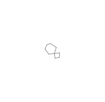 [CH]1CC2(C1)CCCCC2